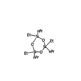 CCC[Si]1(CC)O[Si](CC)(CCC)O[Si](CC)(CCC)O1